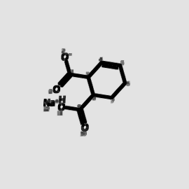 O=C([O-])C1C=CCCC1C(=O)O.[Na+]